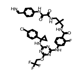 CC(C)(CNC(=O)C(=O)Nc1ccc(C=N)cc1)CNC(=O)c1ccc(Nc2nc(NC3(c4ccc(Cl)cc4)CC3)nc(OCC(F)(F)F)n2)cc1F